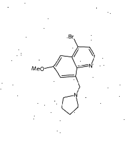 COc1cc(CN2CCCC2)c2nccc(Br)c2c1